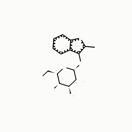 Cc1[nH]c2ccccc2c1O[C@@H]1O[C@H](CO)[C@H](O)[C@H](O)[C@H]1O